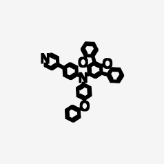 c1ccc(Oc2ccc(N(c3ccc(-c4ccncc4)cc3)c3cc4c5ccccc5oc4c4c3oc3ccccc34)cc2)cc1